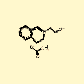 CC(=O)[O-].OCC[N+]1=Cc2ccccc2CC1